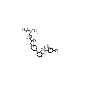 CN(C)/C=N/NC(=O)CN1CCC(c2cccc3c2OC(C)(c2ccc(Cl)cc2F)O3)CC1